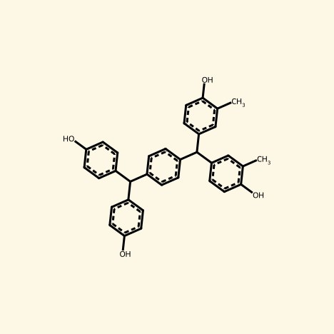 Cc1cc(C(c2ccc(C(c3ccc(O)cc3)c3ccc(O)cc3)cc2)c2ccc(O)c(C)c2)ccc1O